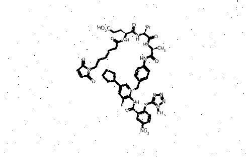 CC(C)[C@H](NC(=O)[C@H](CCC(=O)O)NC(=O)CCCCCN1C(=O)C=CC1=O)C(=O)N[C@@H](C)C(=O)Nc1ccc(C[n+]2cc(C3CCCC3)cc(F)c2NC(=O)c2cc([N+](=O)[O-])ccc2Sc2nnnn2C)cc1